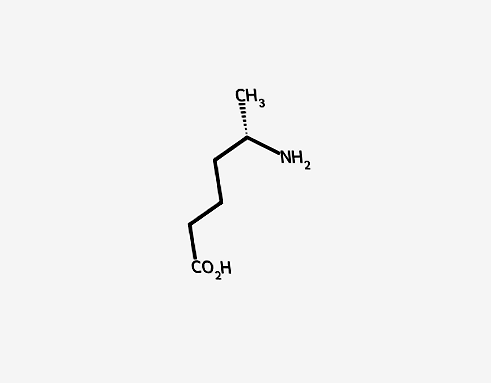 C[C@H](N)CCCC(=O)O